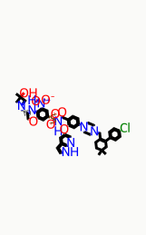 CC1(C)CCC(CN2CCN(c3ccc(C(=O)NS(=O)(=O)c4cc5c(c([N+](=O)[O-])c4)N[C@@H](CN4CC(C)(O)C4)CO5)c(Oc4cnc5[nH]ccc5c4)c3)CC2)=C(c2ccc(Cl)cc2)C1